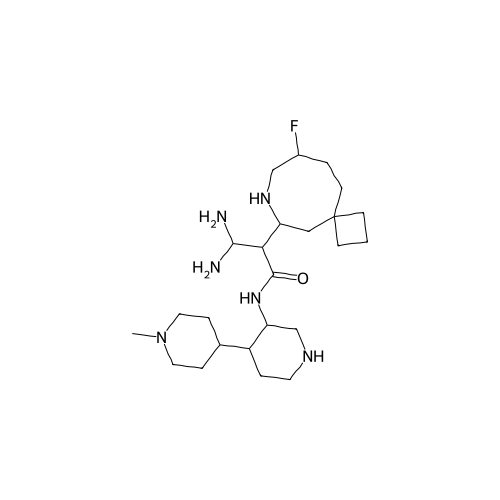 CN1CCC(C2CCNCC2NC(=O)C(C(N)N)C2CC3(CCC3)CCC(F)CN2)CC1